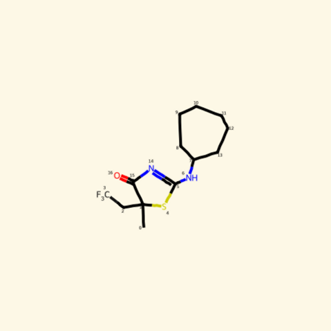 CC1(CC(F)(F)F)SC(NC2CCCCCC2)=NC1=O